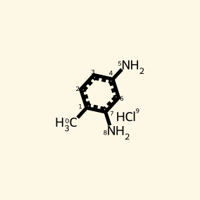 Cc1ccc(N)cc1N.Cl